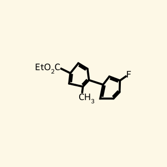 CCOC(=O)c1ccc(-c2cccc(F)c2)c(C)c1